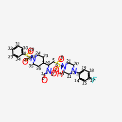 O=CN(O)C(CS(=O)(=O)N1CCN(c2ccc(F)cc2)CC1)C1CCN(S(=O)(=O)c2ccccc2)CC1